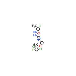 CC(Oc1cccc(-c2ncc(NC(=O)Nc3ccc(Cl)c(C(F)(F)F)c3)cn2)c1)c1c(Cl)ccc(F)c1Cl